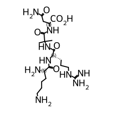 CC(C)(NC(=O)[C@H](CCCNC(=N)N)NC(=O)[C@@H](N)CCCCN)C(=O)N[C@@H](CC(N)=O)C(=O)O